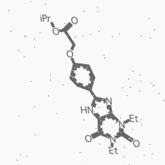 CCn1c(=O)c2[nH]c(-c3ccc(OCC(=O)OC(C)C)cc3)nc2n(CC)c1=O